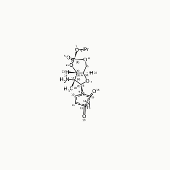 CC(C)O[P@@]1(=O)OC[C@H]2O[C@@H](n3ccc(=O)[nH]c3=O)[C@](C)(N)[C@@H]2O1